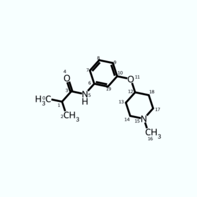 CC(C)C(=O)Nc1cccc(OC2CCN(C)CC2)c1